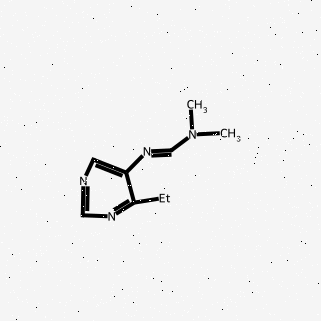 CCc1ncncc1/N=C/N(C)C